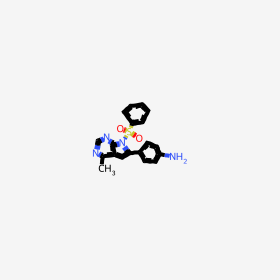 Cc1ncnc2c1cc(-c1ccc(N)cc1)n2S(=O)(=O)c1ccccc1